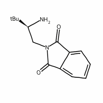 CC(C)(C)[C@@H](N)CN1C(=O)c2ccccc2C1=O